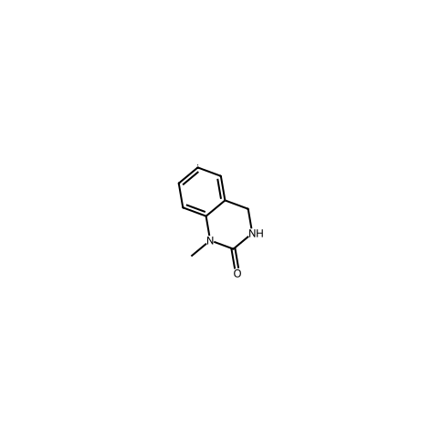 CN1C(=O)NCc2c[c]ccc21